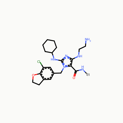 CCNC(=O)c1c(NCCN)nc(NC2CCCCC2)n1Cc1cc(Cl)c2c(c1)CCO2